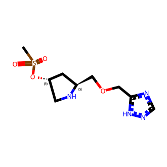 CS(=O)(=O)O[C@H]1CN[C@H](COCc2ncn[nH]2)C1